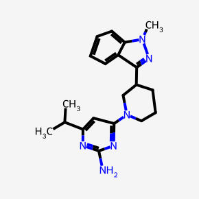 CC(C)c1cc(N2CCCC(c3nn(C)c4ccccc34)C2)nc(N)n1